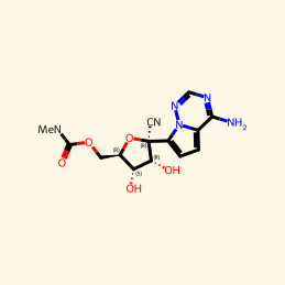 CNC(=O)OC[C@H]1O[C@@](C#N)(c2ccc3c(N)ncnn23)[C@H](O)[C@@H]1O